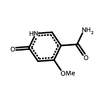 COc1cc(=O)[nH]cc1C(N)=O